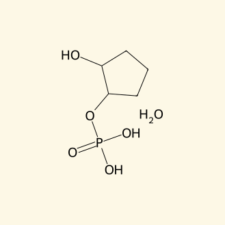 O.O=P(O)(O)OC1CCCC1O